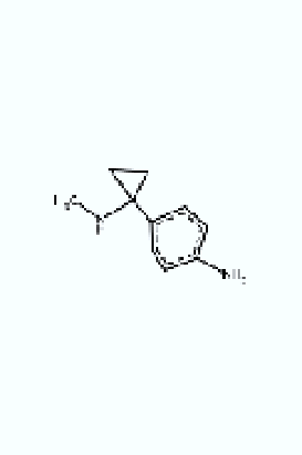 CNC1(c2ccc(N)cc2)CC1